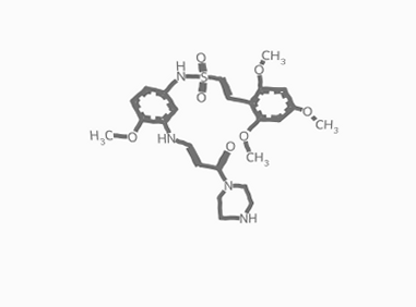 COc1cc(OC)c(C=CS(=O)(=O)Nc2ccc(OC)c(NC=CC(=O)N3CCNCC3)c2)c(OC)c1